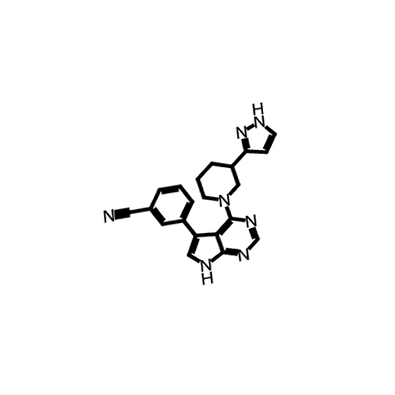 N#Cc1cccc(-c2c[nH]c3ncnc(N4CCCC(c5cc[nH]n5)C4)c23)c1